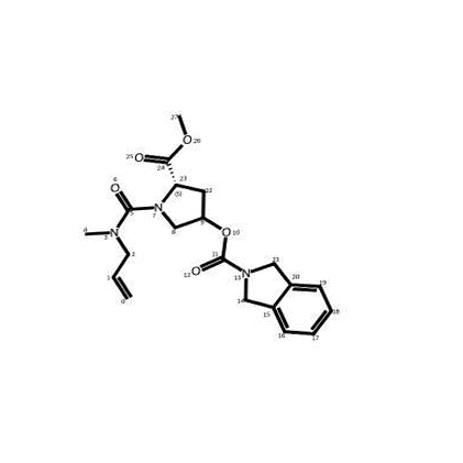 C=CCN(C)C(=O)N1CC(OC(=O)N2Cc3ccccc3C2)C[C@H]1C(=O)OC